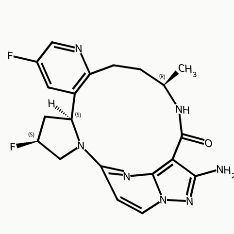 C[C@@H]1CCc2ncc(F)cc2[C@@H]2C[C@H](F)CN2c2ccn3nc(N)c(c3n2)C(=O)N1